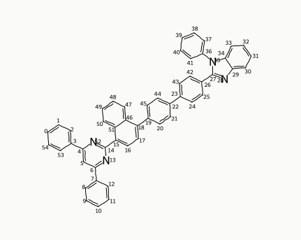 c1ccc(-c2cc(-c3ccccc3)nc(-c3ccc(-c4ccc(-c5ccc(-c6nc7ccccc7n6-c6ccccc6)cc5)cc4)c4ccccc34)n2)cc1